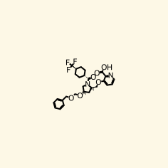 O=C(O)c1ncccc1OC[C@H]1C[C@@H](OCOCc2ccccc2)CN1C(=O)[C@H]1CC[C@H](C(F)(F)F)CC1